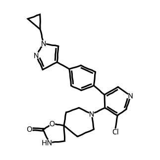 O=C1NCC2(CCN(c3c(Cl)cncc3-c3ccc(-c4cnn(C5CC5)c4)cc3)CC2)O1